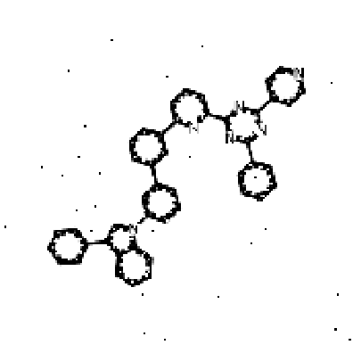 c1ccc(-c2nc(-c3ccncc3)nc(-c3cccc(-c4cccc(-c5cccc(-n6cc(-c7ccccc7)c7ccccc76)c5)c4)n3)n2)cc1